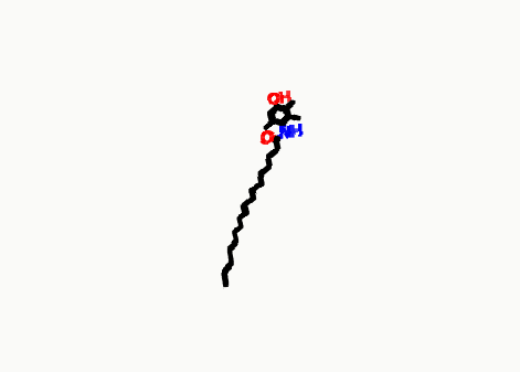 CCCCCCCCC=CCCCCCCCC(=O)Nc1c(C)cc(O)c(C)c1C